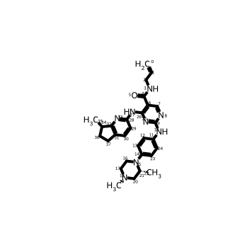 C=CCNC(=O)c1cnc(Nc2ccc(N3CCN(C)C[C@H]3C)cc2)nc1Nc1ccc2c(n1)C(C)CC2